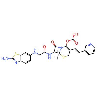 Nc1nc2ccc(NCC(=O)NC3C(=O)N4C(OC(=O)O)=C(C=Cc5cccnc5)CS[C@@H]34)cc2s1